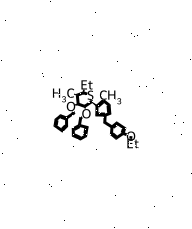 CCOc1ccc(Cc2ccc(C)c([C@@H]3S[C@H](CC)[C@@H](C)[C@H](OCc4ccccc4)[C@H]3OCc3ccccc3)c2)cc1